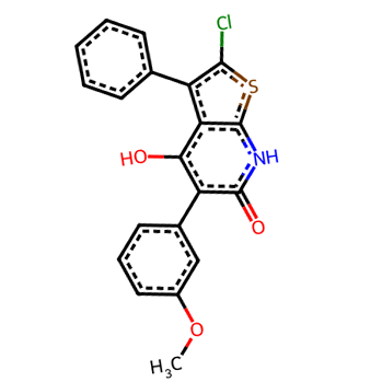 COc1cccc(-c2c(O)c3c(-c4ccccc4)c(Cl)sc3[nH]c2=O)c1